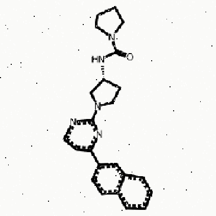 O=C(N[C@@H]1CCN(c2nccc(-c3ccc4ccccc4c3)n2)C1)N1CCCC1